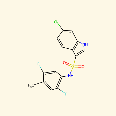 O=S(=O)(Nc1cc(F)c(C(F)(F)F)cc1F)c1c[nH]c2cc(Cl)ccc12